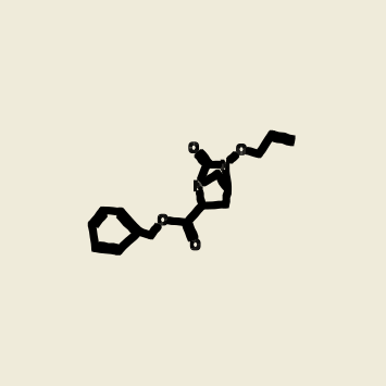 C=CCON1C(=O)N2CC1CC2C(=O)OCc1ccccc1